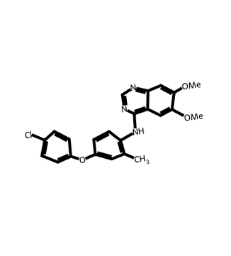 COc1cc2ncnc(Nc3ccc(Oc4ccc(Cl)cc4)cc3C)c2cc1OC